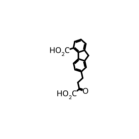 O=C(O)C(=O)CCc1ccc2c(c1)Cc1cccc(C(=O)O)c1-2